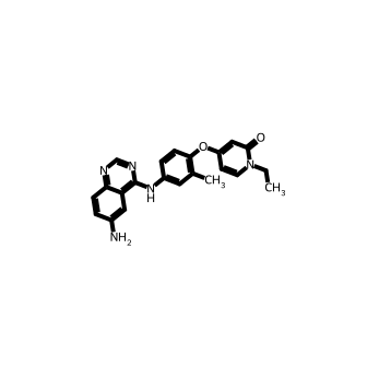 CCn1ccc(Oc2ccc(Nc3ncnc4ccc(N)cc34)cc2C)cc1=O